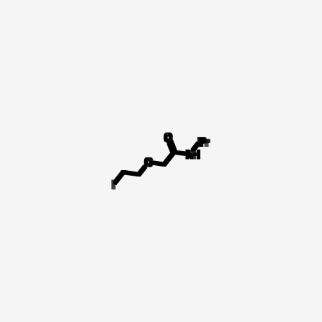 CC(C)NC(=O)COCCI